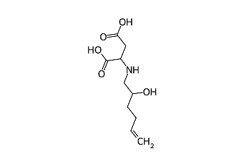 C=CCCC(O)CNC(CC(=O)O)C(=O)O